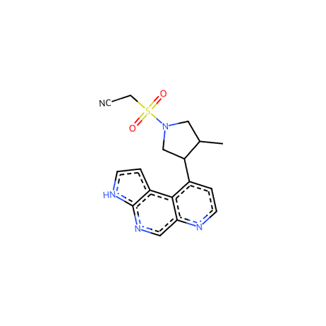 CC1CN(S(=O)(=O)CC#N)CC1c1ccnc2cnc3[nH]ccc3c12